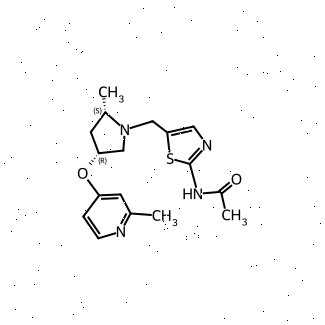 CC(=O)Nc1ncc(CN2C[C@H](Oc3ccnc(C)c3)C[C@@H]2C)s1